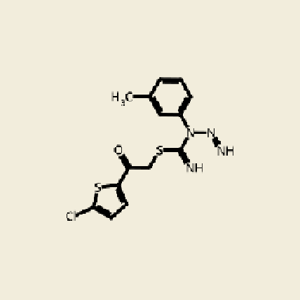 Cc1cccc(N(N=N)C(=N)SCC(=O)c2ccc(Cl)s2)c1